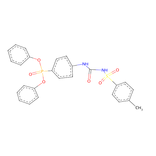 Cc1ccc(S(=O)(=O)NC(=O)Nc2ccc(P(=O)(Oc3ccccc3)Oc3ccccc3)cc2)cc1